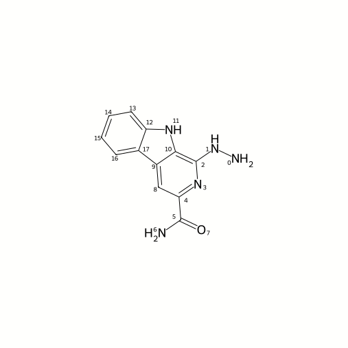 NNc1nc(C(N)=O)cc2c1[nH]c1ccccc12